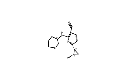 N#Cc1ccc([C@@H]2C[C@H]2F)nc1N[C@@H]1CCCOC1